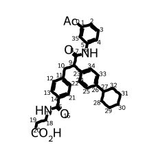 CC(=O)c1cccc(NC(=O)C(Cc2ccc(C(=O)NCCC(=O)O)cc2)c2ccc(C3CCCCC3)cc2)c1